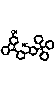 N#Cc1ccc2c(c1)c1ccccc1n2-c1cccc(-c2ccc([Si](c3ccccc3)(c3ccccc3)c3ccccc3)cc2C#N)c1